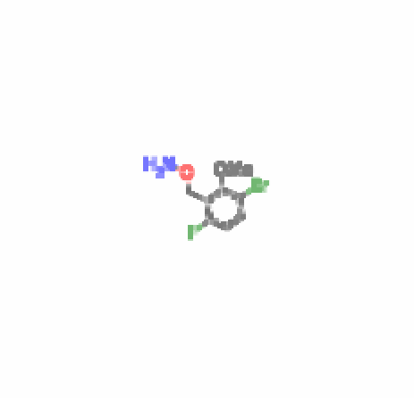 COc1c(Br)ccc(F)c1CON